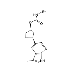 Cc1c[nH]c2ncc([C@H]3CC[C@@H](OC(=O)NC(C)C)C3)cc12